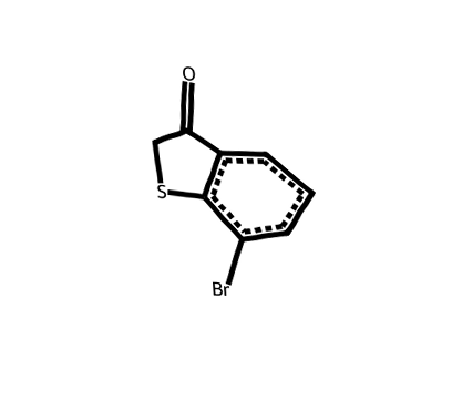 O=C1CSc2c(Br)cccc21